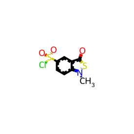 Cn1sc(=O)c2cc(S(=O)(=O)Cl)ccc21